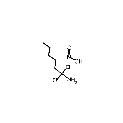 CCCCCC(N)(Cl)Cl.O=NO